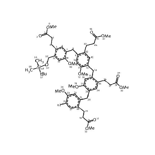 COC(=O)CCc1cc(Cc2cc(OC)c(Cc3cc(OC)c(Cc4cc(OC)c(I)cc4CCC(=O)OC)cc3CCC(=O)OC)cc2CCC(=O)OC)c(OC)cc1CO[Si](C)(C)C(C)(C)C